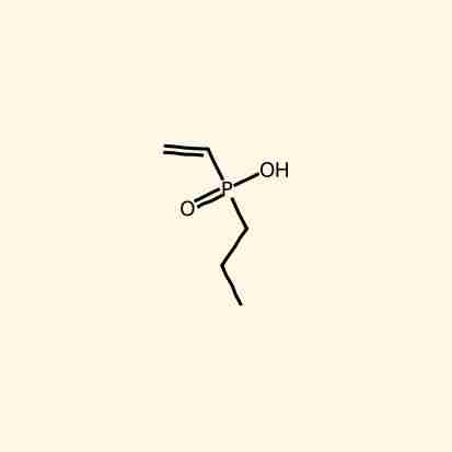 C=CP(=O)(O)CCC